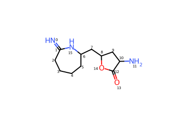 N=C1CCCCC(CC2CC(N)C(=O)O2)N1